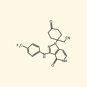 N#CCC1(n2nc(Nc3ccc(C(F)(F)F)cc3)c3c(=O)[nH]ccc32)CCC(=O)CC1